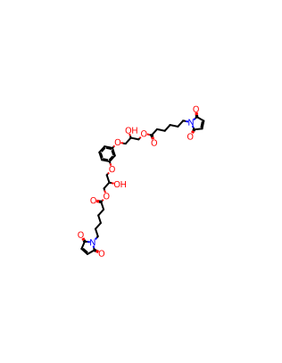 O=C(CCCCCN1C(=O)C=CC1=O)OCC(O)COc1cccc(OCC(O)COC(=O)CCCCCN2C(=O)C=CC2=O)c1